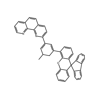 CC1C=C(c2ccc3ccc4cccnc4c3n2)C=C(c2cccc3c2Oc2ccccc2C32c3ccccc3-c3ccccc32)C1